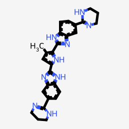 Cc1cc(-c2nc3cc(C4=NCCCN4)ccc3[nH]2)[nH]c1-c1nc2cc(C3=NCCCN3)ccc2[nH]1